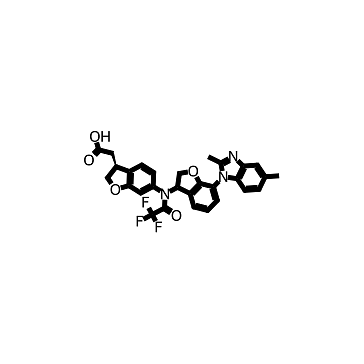 Cc1ccc2c(c1)nc(C)n2-c1cccc2c1OCC2N(C(=O)C(F)(F)F)c1ccc2c(c1)OC[C@H]2CC(=O)O